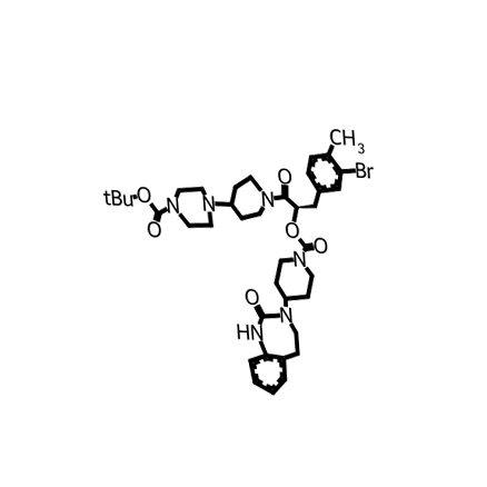 Cc1ccc(C[C@@H](OC(=O)N2CCC(N3CCc4ccccc4NC3=O)CC2)C(=O)N2CCC(N3CCN(C(=O)OC(C)(C)C)CC3)CC2)cc1Br